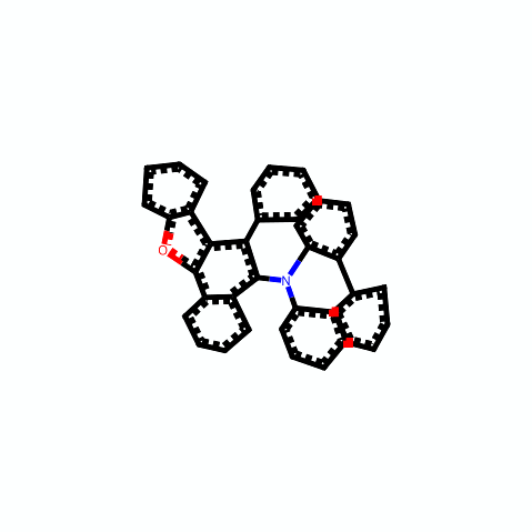 c1ccc(-c2ccccc2N(c2ccccc2)c2c(-c3ccccc3)c3c4ccccc4oc3c3ccccc23)cc1